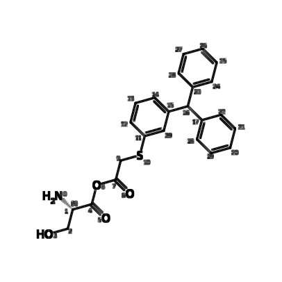 N[C@@H](CO)C(=O)OC(=O)CSc1cccc(C(c2ccccc2)c2ccccc2)c1